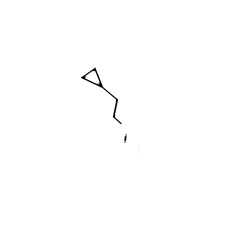 CSCCC1CC1